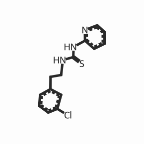 S=C(NCCc1cccc(Cl)c1)Nc1ccccn1